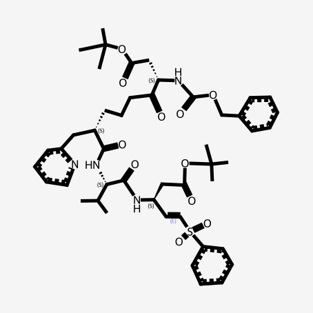 CC(C)[C@H](NC(=O)[C@@H](CCCC(=O)[C@H](CC(=O)OC(C)(C)C)NC(=O)OCc1ccccc1)Cc1ccccn1)C(=O)N[C@H](/C=C/S(=O)(=O)c1ccccc1)CC(=O)OC(C)(C)C